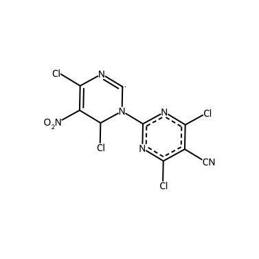 N#Cc1c(Cl)nc(N2[C]=NC(Cl)=C([N+](=O)[O-])C2Cl)nc1Cl